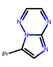 CC(C)c1cnc2nccnn12